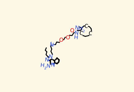 CCCCc1nc2c(N)nc3ccccc3c2n1CCCCN(C)CCCOCCOCCC(=O)NC(N)C1CCCCCCCCCCC1C